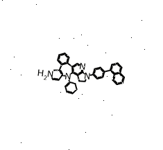 CC1=C(/C=C\N)N(C2=CC=CCC2)c2c(cnc3c2CCN3c2ccc(-c3cccc4ccccc34)cc2)-c2ccccc21